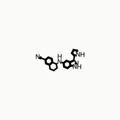 N#Cc1ccc2c(c1)CCC[C@@H]2Nc1ccc2[nH]nc(-c3ccc[nH]3)c2c1